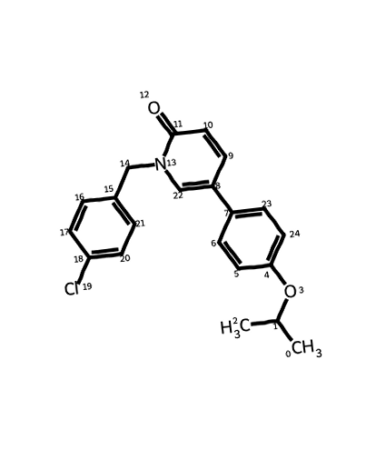 CC(C)Oc1ccc(-c2ccc(=O)n(Cc3ccc(Cl)cc3)c2)cc1